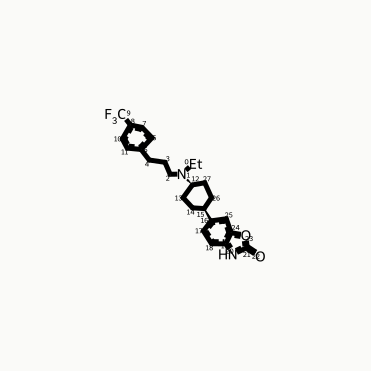 CCN(CCCc1ccc(C(F)(F)F)cc1)[C@H]1CC[C@H](c2ccc3[nH]c(=O)oc3c2)CC1